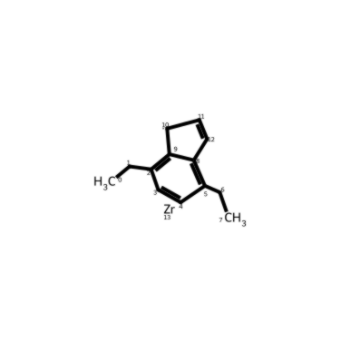 CCc1ccc(CC)c2c1[CH]C=C2.[Zr]